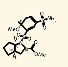 COC(=O)[C@H]1C[C@H]2CCC[C@H]2N1S(=O)(=O)C1=CC(S(N)(=O)=O)=CC[C@@]1(C)OC